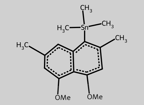 COc1cc(C)cc2[c]([Sn]([CH3])([CH3])[CH3])c(C)cc(OC)c12